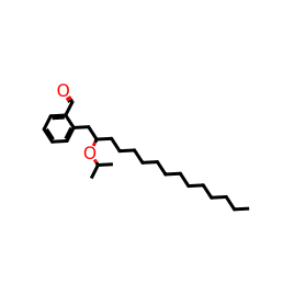 CCCCCCCCCCCCCC(Cc1ccccc1C=O)OC(C)C